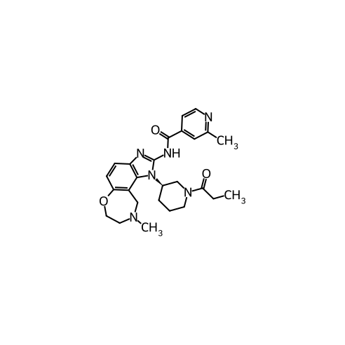 CCC(=O)N1CCC[C@@H](n2c(NC(=O)c3ccnc(C)c3)nc3ccc4c(c32)CN(C)CCO4)C1